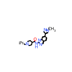 CC(C)CN1CCC(C(=O)Nc2ncc3ccc(-c4cnn(C)c4)cc3n2)CC1